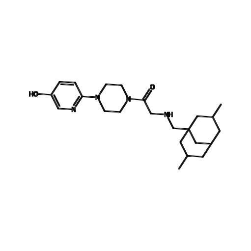 CC1CC2CC(C)CC(CNCC(=O)N3CCN(c4ccc(O)cn4)CC3)(C1)C2